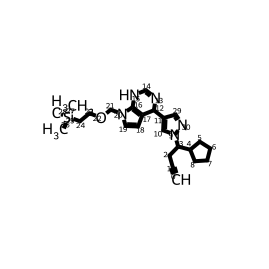 C#CCC(C1CCCC1)n1cc(C2N=CNc3c2ccn3COCC[Si](C)(C)C)cn1